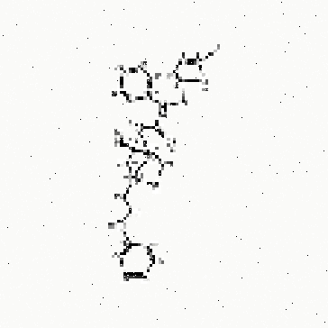 Cc1ccc(CN(C(=O)O[C@H]2C[N+]3(CCOc4ccccc4)CCC2CC3)c2ccccc2)s1